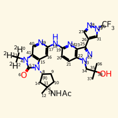 [2H]C([2H])([2H])n1c(=O)n([C@@H]2CC[C@](C)(NC(C)=O)C2)c2cc(Nc3ccc4c(n3)c(-c3cnn(C(F)(F)F)c3)nn4CC(C)(C)O)ncc21